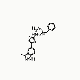 Cc1n[nH]c2ccc(-c3cnc(NC[C@@H]([AsH2])Cc4ccccc4)s3)cc12